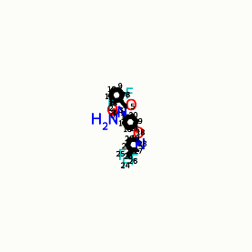 NC(=O)N(C(=O)c1c(F)cccc1F)c1ccc(Oc2ccc(C(F)(F)F)cn2)cc1